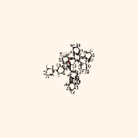 c1ccc(-c2ccc(N(c3ccc4c(c3)c(-c3ccccc3)c(-c3ccccc3)c3ccccc34)c3ccc4oc5ccccc5c4c3)c(-c3ccccc3)c2)cc1